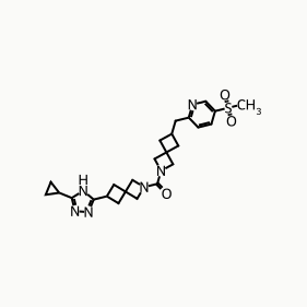 CS(=O)(=O)c1ccc(CC2CC3(C2)CN(C(=O)N2CC4(CC(c5nnc(C6CC6)[nH]5)C4)C2)C3)nc1